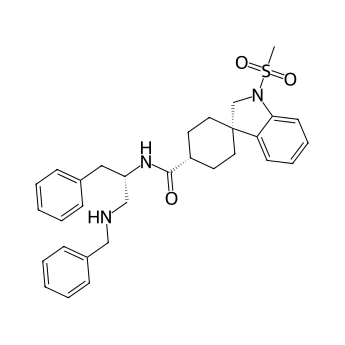 CS(=O)(=O)N1C[C@]2(CC[C@@H](C(=O)N[C@H](CNCc3ccccc3)Cc3ccccc3)CC2)c2ccccc21